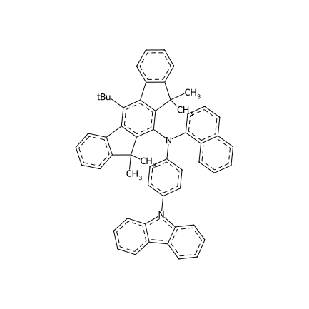 CC(C)(C)c1c2c(c(N(c3ccc(-n4c5ccccc5c5ccccc54)cc3)c3cccc4ccccc34)c3c1-c1ccccc1C3(C)C)C(C)(C)c1ccccc1-2